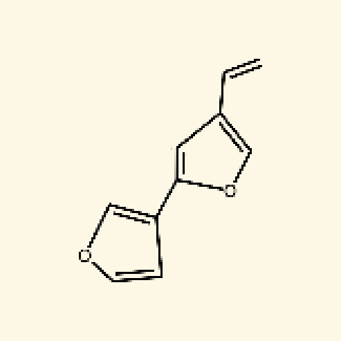 C=Cc1[c]c(-c2ccoc2)oc1